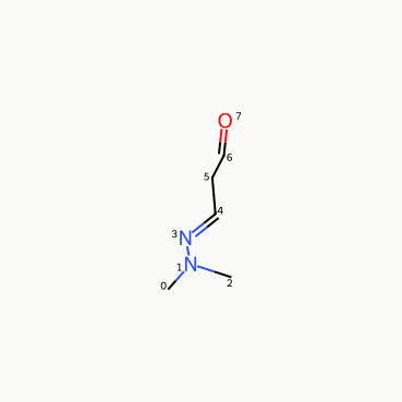 CN(C)/N=C/CC=O